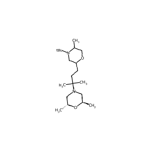 CC1COC(CCC(C)(C)N2C[C@@H](C)O[C@H](C)C2)CN1C(C)(C)C